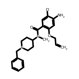 C=CCOc1cc(N)c(Cl)cc1C(=O)N(C)C1CCN(Cc2ccccc2)CC1